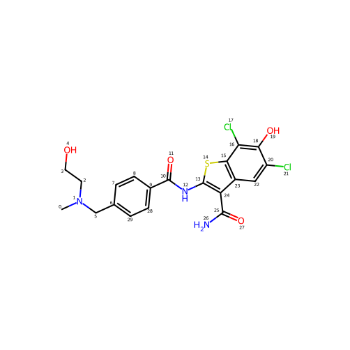 CN(CCO)Cc1ccc(C(=O)Nc2sc3c(Cl)c(O)c(Cl)cc3c2C(N)=O)cc1